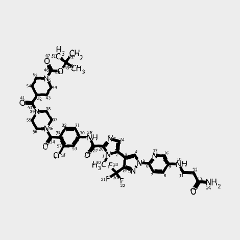 Cn1c(-c2cn(-c3ccc(NCCC(N)=O)cn3)nc2C(F)(F)F)cnc1C(=O)Nc1ccc(C(=O)N2CCN(C(=O)C3CCN(C(=O)OC(C)(C)C)CC3)CC2)c(Cl)c1